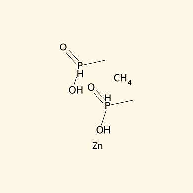 C.C[PH](=O)O.C[PH](=O)O.[Zn]